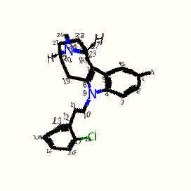 Cc1ccc2c(c1)c1c(n2CCc2ccccc2Cl)C[C@@H]2CC[C@H]1N2C